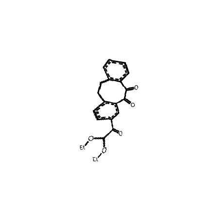 CCOC(OCC)C(=O)c1ccc2c(c1)C(=O)C(=O)c1ccccc1CC2